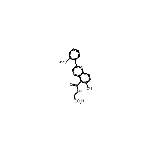 COc1ccccc1-c1cnc2c(C(=O)NCC(=O)O)c(O)ccc2n1